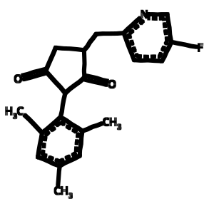 Cc1cc(C)c(C2C(=O)CC(Cc3ccc(F)cn3)C2=O)c(C)c1